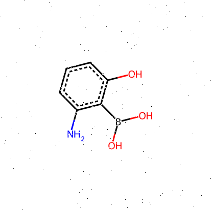 Nc1cccc(O)c1B(O)O